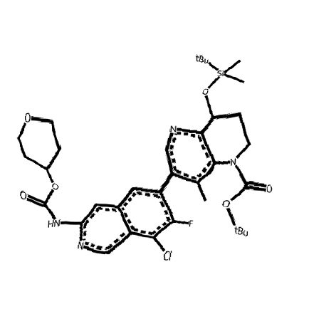 Cc1c(-c2cc3cc(NC(=O)OC4CCOCC4)ncc3c(Cl)c2F)cnc2c1N(C(=O)OC(C)(C)C)CCC2O[Si](C)(C)C(C)(C)C